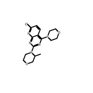 CC1COCCN1c1nc(N2CCOCC2)c2ccc(Cl)nc2n1